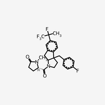 CN1C(=O)CC[C@H]1C(=O)N1CCC2(Cc3ccc(F)cc3)c3ccc(C(C)(F)C(F)(F)F)cc3CC12